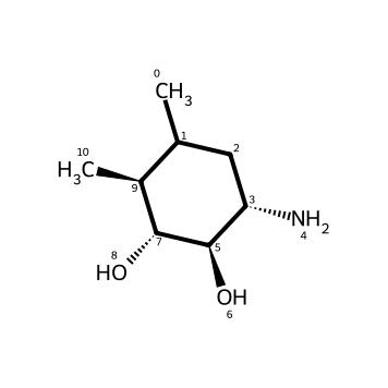 CC1C[C@H](N)[C@@H](O)[C@H](O)[C@H]1C